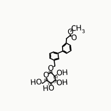 COC(=O)Cc1cccc(-c2cccc(CO[C@@H]3O[C@H](CO)[C@@H](O)[C@H](O)[C@@H]3O)c2)c1